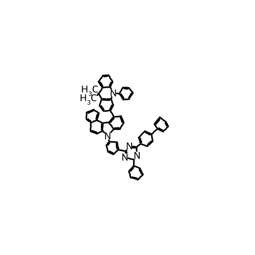 CC1(C)c2ccccc2N(c2ccccc2)c2cc(-c3cccc4c3c3c5ccccc5ccc3n4-c3cccc(-c4nc(-c5ccccc5)nc(-c5ccc(-c6ccccc6)cc5)n4)c3)ccc21